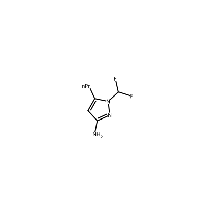 CCCc1cc(N)nn1C(F)F